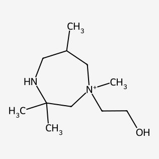 CC1CNC(C)(C)C[N+](C)(CCO)C1